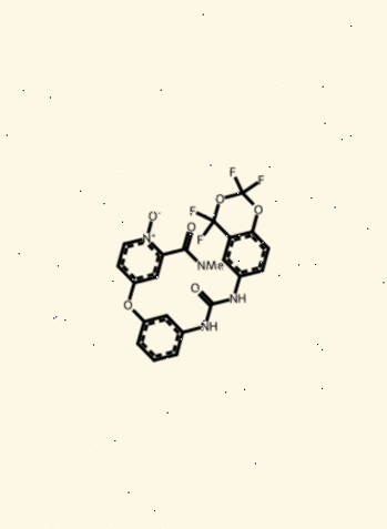 CNC(=O)c1cc(Oc2cccc(NC(=O)Nc3ccc4c(c3)C(F)(F)OC(F)(F)O4)c2)cc[n+]1[O-]